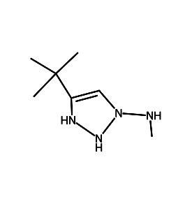 CNN1C=C(C(C)(C)C)NN1